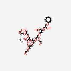 COCC(COCC(CO)OCC=O)OCC(COCC(O)COCC=O)OCC(COCCC(CO)OCC(O)COC1CCCCCCC1)OCC=O